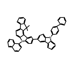 CC1(C)c2ccccc2-c2ccc3c(c21)c1cc(-c2ccc4c(c2)c2ccccc2n4-c2ccc(-c4ccccc4)cc2)ccc1n3-c1cccc2ccccc12